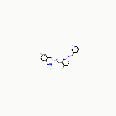 CC1=C(CC(=O)NCc2cc(Cl)ccc2-n2cnnn2)C(=O)N(NCc2cccnc2)CC1